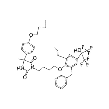 CC=Cc1cc(C(O)(C(F)(F)F)C(F)(F)F)cc(Cc2ccccc2)c1OCCCCN1C(=O)NC(C)(c2ccc(OCCCC)cc2)C1=O